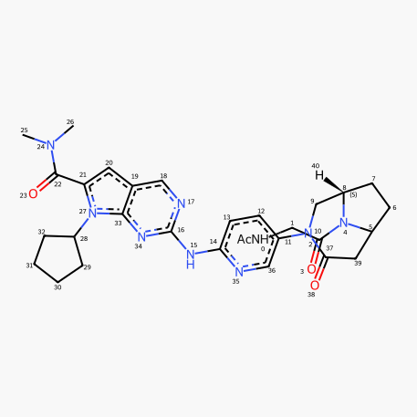 CC(=O)NCC(=O)N1C2CC[C@H]1CN(c1ccc(Nc3ncc4cc(C(=O)N(C)C)n(C5CCCC5)c4n3)nc1)C(=O)C2